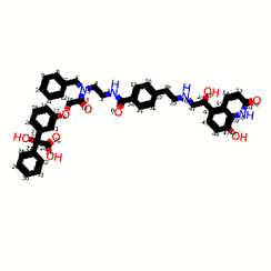 O=C(NCCN(Cc1ccccc1)C(=O)COc1cccc(C(O)(C(=O)O)c2ccccc2)c1)c1ccc(CCNCC(O)c2ccc(O)c3[nH]c(=O)ccc23)cc1